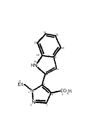 CCn1ncc(C(=O)O)c1-c1cc2ccccc2[nH]1